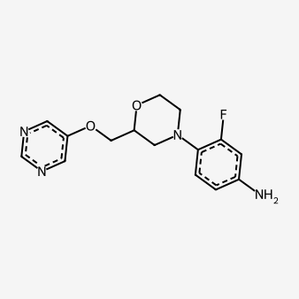 Nc1ccc(N2CCOC(COc3cncnc3)C2)c(F)c1